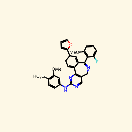 COc1cc(Nc2ncc3c(n2)C2=CCC(c4ccco4)C=C2C(c2c(F)cccc2OC)=NC3)ccc1C(=O)O